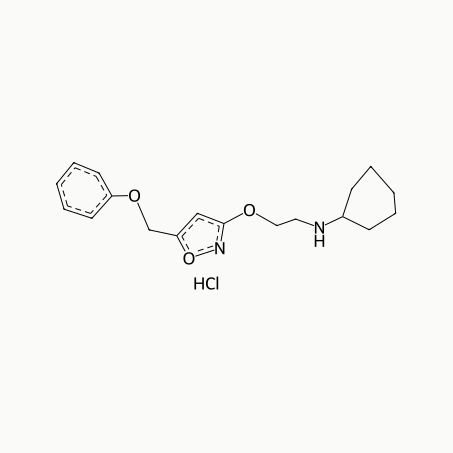 Cl.c1ccc(OCc2cc(OCCNC3CCCCC3)no2)cc1